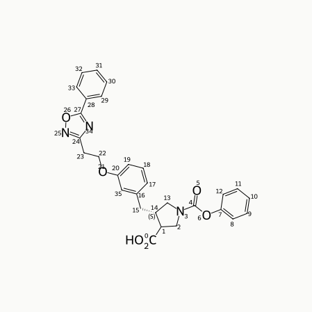 O=C(O)C1CN(C(=O)Oc2ccccc2)C[C@H]1Cc1cccc(OCCc2noc(-c3ccccc3)n2)c1